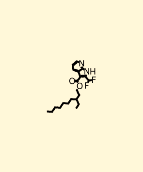 CCCCCCCC(CC)CCOC(=O)c1c(C(F)F)[nH]c2ncccc12